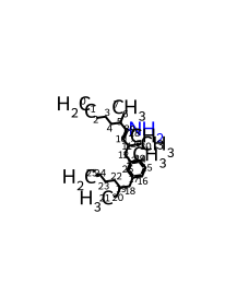 C=C=CCCC(CC)/C(N)=C/C(Cc1cccc(CC(CC)CCC=C)c1)C(C)(C)C